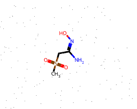 CS(=O)(=O)C/C(N)=N\O